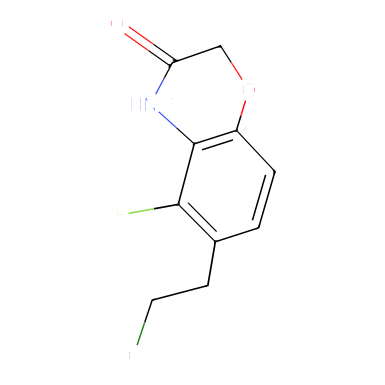 O=C1COc2ccc(CCCl)c(F)c2N1